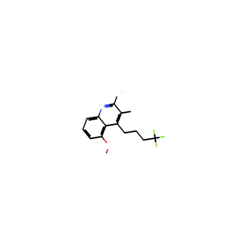 COc1cccc2nc(C)c(C)c(CCCC(F)(F)F)c12